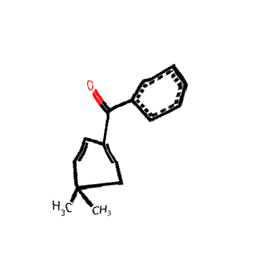 CC1(C)C=CC(C(=O)c2ccccc2)=CC1